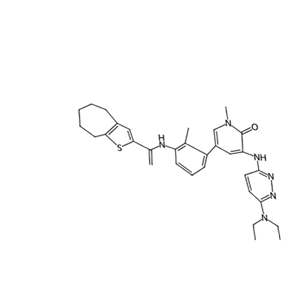 C=C(Nc1cccc(-c2cc(Nc3ccc(N(CC)CC)nn3)c(=O)n(C)c2)c1C)c1cc2c(s1)CCCCC2